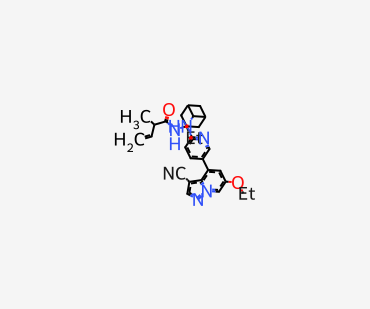 C=CC(C)C(=O)NC1(CC)CC2CC(C1)C2Nc1ccc(-c2cc(OCC)cn3ncc(C#N)c23)cn1